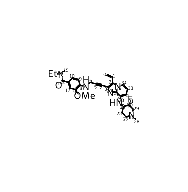 C=Cc1c(C#CCNc2ccc(C(=O)N(C)CC)cc2OC)nc2c(N[C@@H]3CCN(C)C[C@@H]3F)cccn12